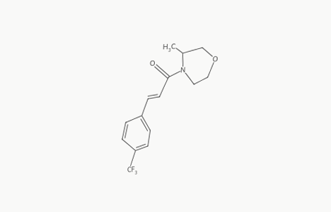 CC1COCCN1C(=O)C=Cc1ccc(C(F)(F)F)cc1